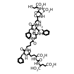 N[C@@H](CNC(=O)[C@H](Cc1ccccc1)NC(=O)[C@H](Cc1ccccc1)NC(=O)CNC(=O)CCCNC(=O)[C@H](Cc1ccccc1)NC(=O)CCC(NC(=O)N[C@@H](CCC(=O)O)C(=O)O)C(=O)O)C(=O)N[C@@H](CC(=O)O)C(=O)N[C@@H](CS)C(=O)O